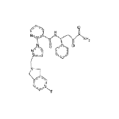 NC(=O)C(=O)CC(NC(=O)c1cccnc1-n1ccc(CN2Cc3ccc(F)cc3C2)n1)c1ccccc1